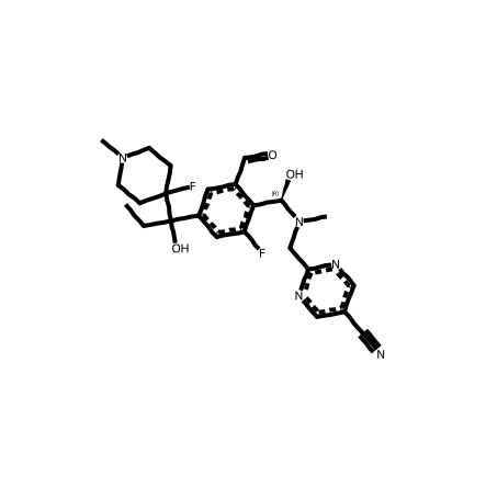 CCC(O)(c1cc(F)c([C@@H](O)N(C)Cc2ncc(C#N)cn2)c(C=O)c1)C1(F)CCN(C)CC1